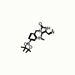 C/N=C\c1[nH]c(=O)n(Cc2ccc(B3OC(C)(C)C(C)(C)O3)cc2)c1NC